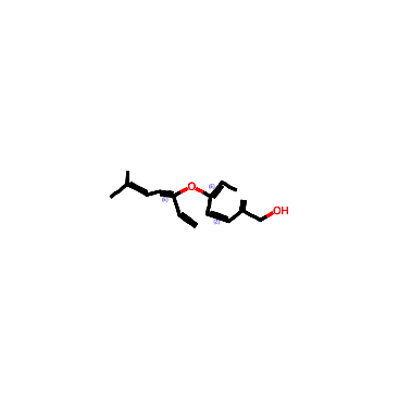 C=C/C(=C\C=C(C)C)OC(/C=C\C(=C)CO)=C/C